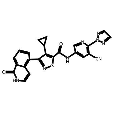 N#Cc1cc(NC(=O)c2snc(-c3cccc4c(=O)[nH]ccc34)c2C2CC2)cnc1-n1nccn1